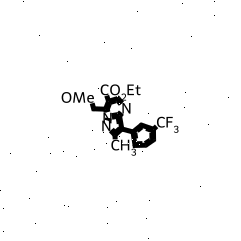 CCOC(=O)c1cnc2c(-c3cccc(C(F)(F)F)c3)c(C)nn2c1COC